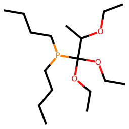 CCCCP(CCCC)C(OCC)(OCC)C(C)OCC